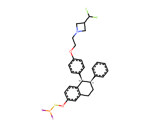 FC(F)C1CN(CCOc2ccc([C@@H]3c4ccc(OSP(I)I)cc4CC[C@@H]3c3ccccc3)cc2)C1